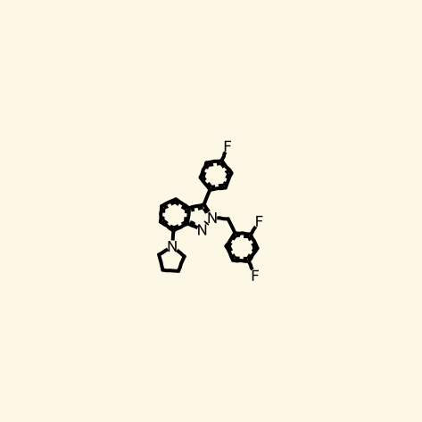 Fc1ccc(-c2c3cccc(N4CCCC4)c3nn2Cc2ccc(F)cc2F)cc1